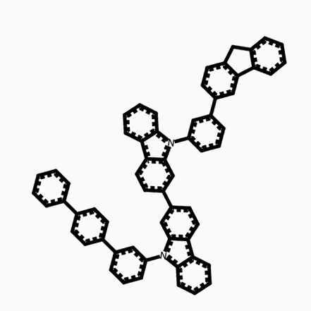 c1ccc(-c2ccc(-c3cccc(-n4c5ccccc5c5ccc(-c6ccc7c8ccccc8n(-c8cccc(-c9ccc%10c(c9)-c9ccccc9C%10)c8)c7c6)cc54)c3)cc2)cc1